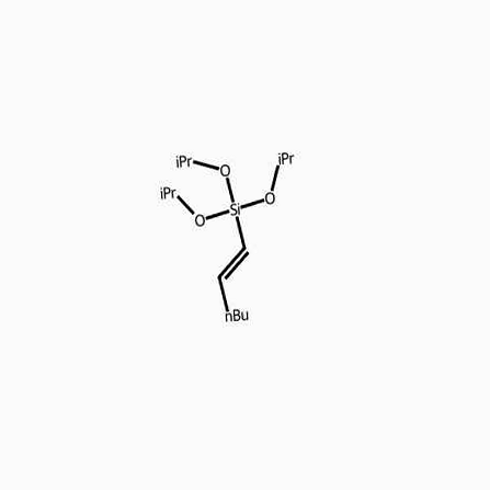 CCCC/C=C/[Si](OC(C)C)(OC(C)C)OC(C)C